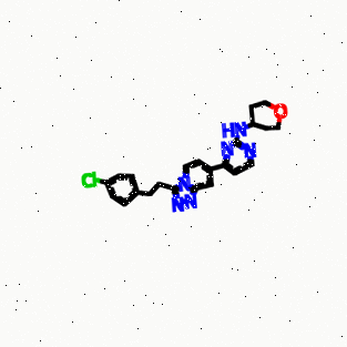 Clc1ccc(CCc2nnc3cc(-c4ccnc(NC5CCOCC5)n4)ccn23)cc1